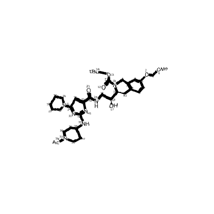 COCOc1ccc2c(c1)CN(C(=O)OC(C)(C)C)[C@H]([C@H](O)CNC(=O)c1cc(N3CCCCC3)nc(NC3CCN(C(C)=O)CC3)n1)C2